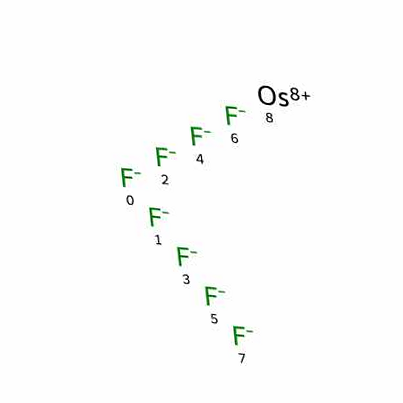 [F-].[F-].[F-].[F-].[F-].[F-].[F-].[F-].[Os+8]